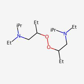 CCC(CN(CC)C(C)C)OOC(CC)CN(CC)C(C)C